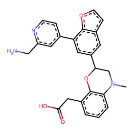 CN1CC(c2cc(-c3ccnc(CN)c3)c3occc3c2)Oc2c(CC(=O)O)cccc21